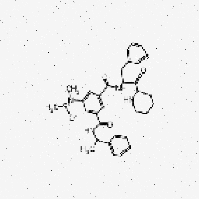 CC(NC(=O)c1cc(C(=O)NC(Cc2ccccc2)C(=O)C2CCCCN2)cc(N(C)[S+](C)[O-])c1)c1ccccc1